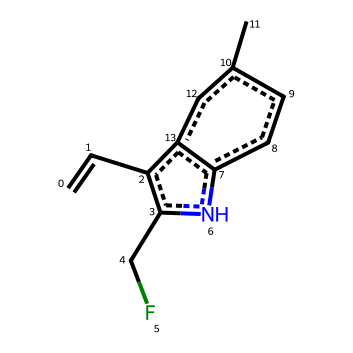 C=Cc1c(CF)[nH]c2ccc(C)cc12